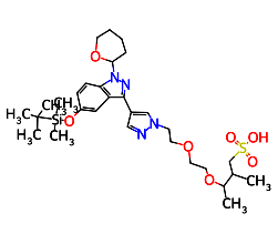 CC(CS(=O)(=O)O)C(C)OCCOCCn1cc(-c2nn(C3CCCCO3)c3ccc(O[Si](C)(C)C(C)(C)C)cc23)cn1